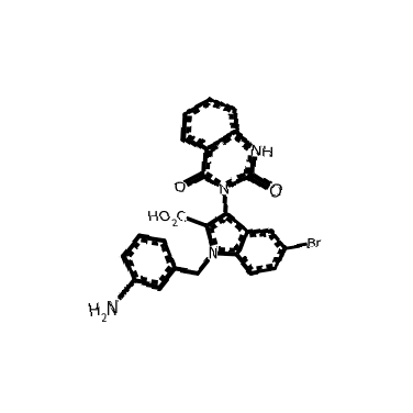 Nc1cccc(Cn2c(C(=O)O)c(-n3c(=O)[nH]c4ccccc4c3=O)c3cc(Br)ccc32)c1